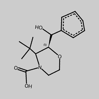 CC(C)(C)C1[C@@H](C(O)c2ccccc2)OCCN1C(=O)O